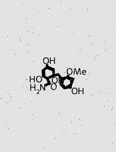 COc1cc(O)ccc1CC1(O)C=C(O)C=C(O)C1C(N)=O